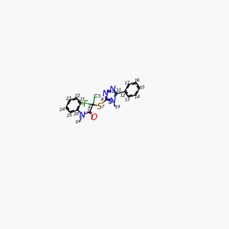 CN(C(=O)C(F)(F)Sc1nnc(-c2ccccc2)n1C)c1ccccc1